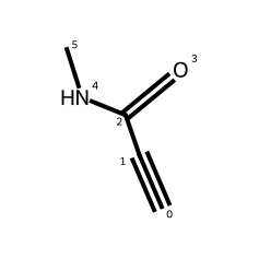 C#CC(=O)NC